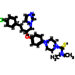 CN(C)C(=S)N1CCN(c2ccc(OC(CCc3ccc(Cl)cc3)Cn3ccnc3)cc2)CC1